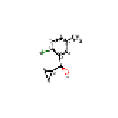 O=C(c1cc(C(F)(F)F)ccc1F)C1CC1